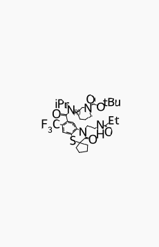 CCC(=O)NCCN1C(=O)C2(CCCC2)Sc2cc(C(F)(F)F)c(C(=O)N(C(C)C)[C@@H]3CCCN(C(=O)OC(C)(C)C)C3)cc21